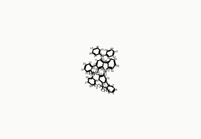 CC1(C)c2ccccc2-c2cc3c(cc21)Bc1c(-c2ccccc2Nc2ccccc2)cc(N(c2ccccc2)c2ccccc2)c2c4ccccc4n-3c12